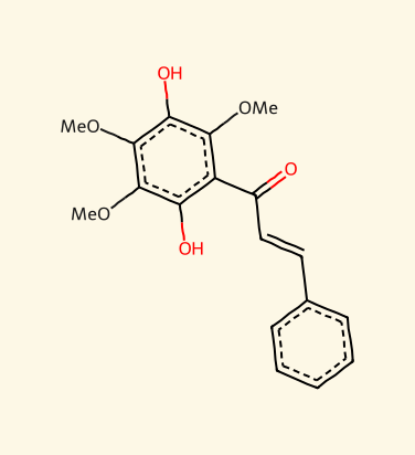 COc1c(O)c(OC)c(C(=O)/C=C/c2ccccc2)c(O)c1OC